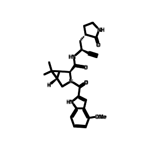 C#C[C@H](C[C@@H]1CCNC1=O)NC(=O)[C@@H]1C2[C@H](CN1C(=O)c1cc3c(OC)cccc3[nH]1)C2(C)C